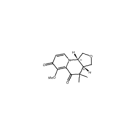 COc1c2n(ccc1=O)[C@@H]1COC[C@@H]1C(C)(C)C2=O